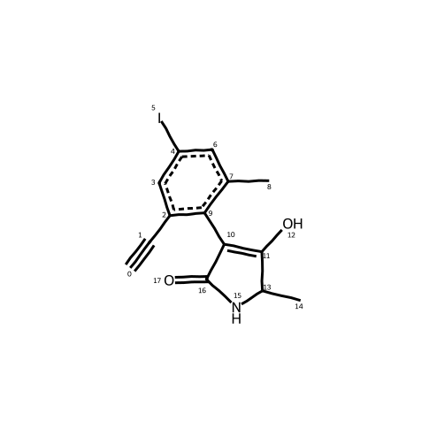 C#Cc1cc(I)cc(C)c1C1=C(O)C(C)NC1=O